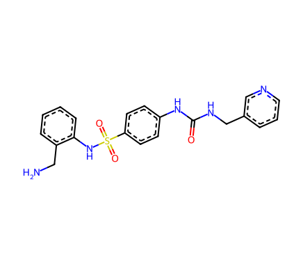 NCc1ccccc1NS(=O)(=O)c1ccc(NC(=O)NCc2cccnc2)cc1